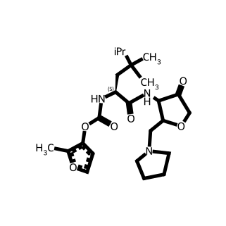 Cc1occc1OC(=O)N[C@@H](CC(C)(C)C(C)C)C(=O)NC1C(=O)COC1CN1CCCC1